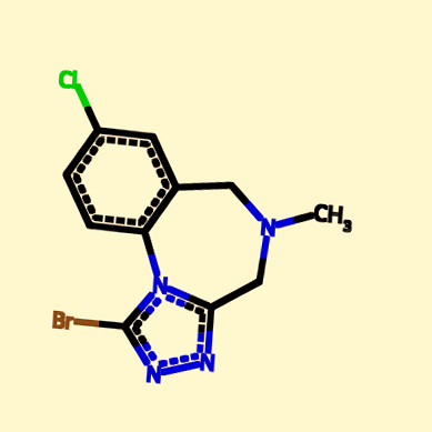 CN1Cc2cc(Cl)ccc2-n2c(Br)nnc2C1